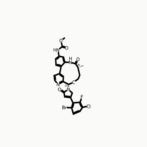 COC(=O)Nc1ccc2c(c1)NC(=O)[C@H](C)CCC[C@H](N1CC(c3c(Br)ccc(Cl)c3F)=CC1=O)c1cc-2ccn1